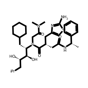 CC(C)C[C@H](O)[C@H](O)[C@H](CC1CCCCC1)N(CC(=O)N(C)C)C(=O)[C@@H](CC(=O)N[C@@H](C)c1ccccc1)Cc1csc(N)n1